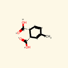 CC1=C[C@H](C(=O)O)[C@H](C(=O)O)C=C1